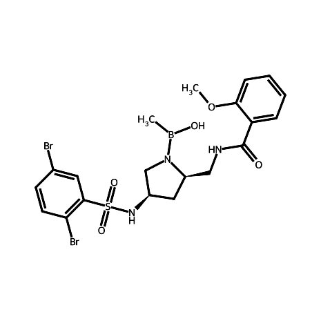 COc1ccccc1C(=O)NC[C@H]1C[C@@H](NS(=O)(=O)c2cc(Br)ccc2Br)CN1B(C)O